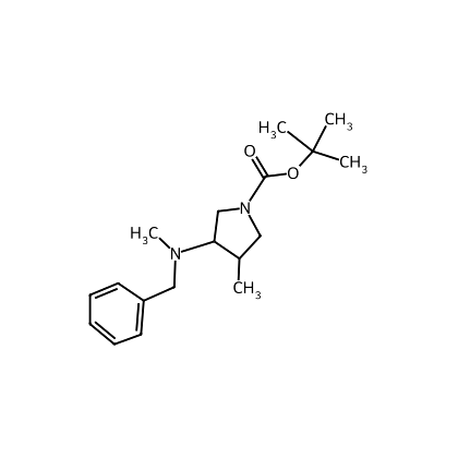 CC1CN(C(=O)OC(C)(C)C)CC1N(C)Cc1ccccc1